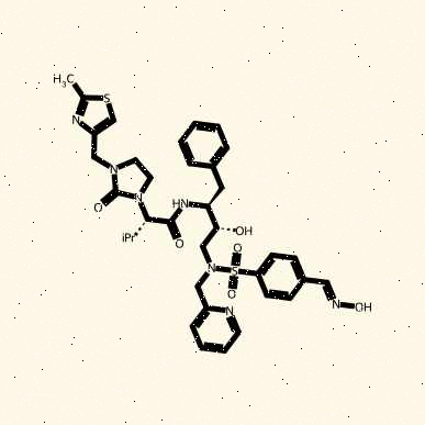 Cc1nc(CN2CCN([C@H](C(=O)N[C@@H](Cc3ccccc3)[C@H](O)CN(Cc3ccccn3)S(=O)(=O)c3ccc(C=NO)cc3)C(C)C)C2=O)cs1